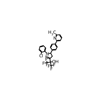 Cc1cccc(-c2ccc(C3CC(C(O)(C(F)(F)F)C(F)(F)F)=NN3c3ccccc3Cl)cc2)n1